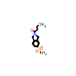 CCCC(=O)N1Cc2ccc(S(C)(=O)=O)cc2C1